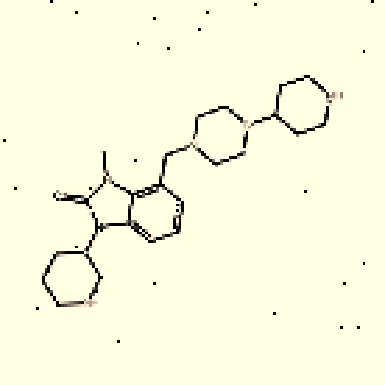 Cn1c(=O)n(C2CCCNC2)c2cccc(CN3CCN(C4CCNCC4)CC3)c21